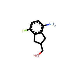 Nc1ccc(F)c2c1CC(CO)C2